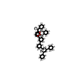 O=c1c2ccccc2n(-c2ccccc2-n2c3ccccc3c3cc(-c4cccc(-c5nc(-c6ccccc6)cc(-c6ccccc6)n5)c4)ccc32)c2ccccc12